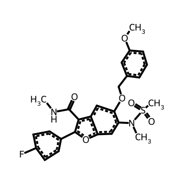 CNC(=O)c1c(-c2ccc(F)cc2)oc2cc(N(C)S(C)(=O)=O)c(OCc3cccc(OC)c3)cc12